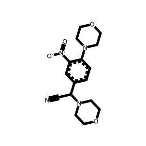 N#CC(c1ccc(N2CCOCC2)c([N+](=O)[O-])c1)N1CCOCC1